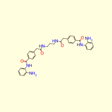 Nc1ccccc1NC(=O)c1ccc(CC(=O)NCCCNC(=O)Cc2ccc(C(=O)Nc3ccccc3N)cc2)cc1